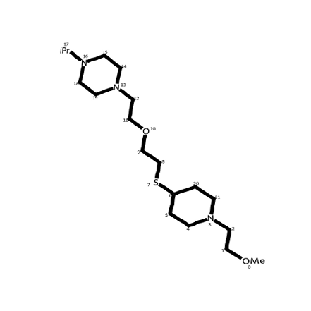 COCCN1CCC(SCCOCCN2CCN(C(C)C)CC2)CC1